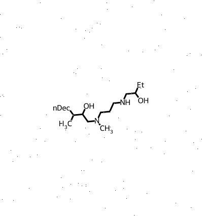 CCCCCCCCCCC(C)C(O)CN(C)CCCNCC(O)CC